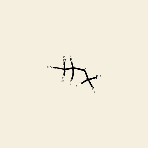 FC(F)(F)CC(F)(F)C(F)(F)Br